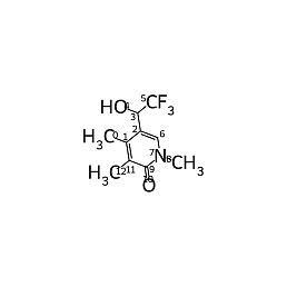 Cc1c(C(O)C(F)(F)F)cn(C)c(=O)c1C